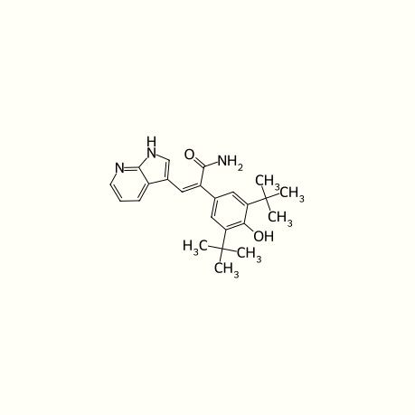 CC(C)(C)c1cc(C(=Cc2c[nH]c3ncccc23)C(N)=O)cc(C(C)(C)C)c1O